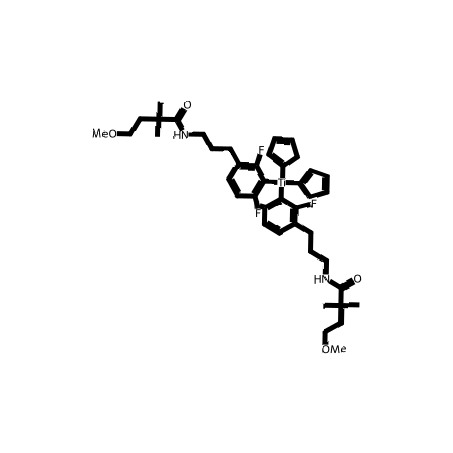 COCCC(C)(C)C(=O)NCCCc1ccc(F)[c]([Ti]([C]2=CC=CC2)([C]2=CC=CC2)[c]2c(F)ccc(CCCNC(=O)C(C)(C)CCOC)c2F)c1F